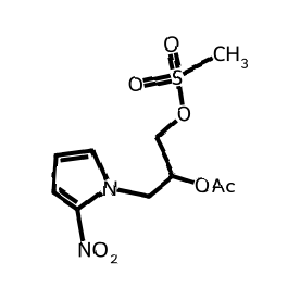 CC(=O)OC(COS(C)(=O)=O)Cn1cccc1[N+](=O)[O-]